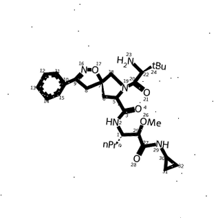 CCC[C@H](NC(=O)C1C[C@]2(CC(c3ccccc3)=NO2)CN1C(=O)[C@@H](N)C(C)(C)C)C(OC)C(=O)NC1CC1